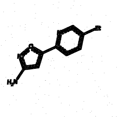 CCc1ccc(-c2cc(N)no2)nc1